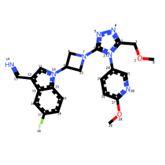 COCc1nnc(N2CC(n3cc(C=N)c4cc(F)ccc43)C2)n1-c1ccc(OC)nc1